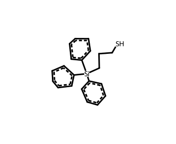 SCCC[Si](c1ccccc1)(c1ccccc1)c1ccccc1